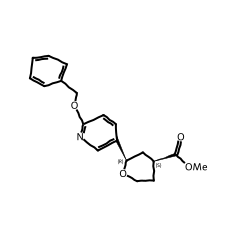 COC(=O)[C@H]1CCO[C@@H](c2ccc(OCc3ccccc3)nc2)C1